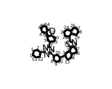 c1ccc(-c2nc(-c3cccc(-c4ccc5ccc6nc(-c7cccc8ccccc78)sc6c5c4)c3)nc(-c3ccc4oc5ccccc5c4c3)n2)cc1